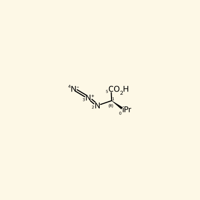 CC(C)[C@@H](N=[N+]=[N-])C(=O)O